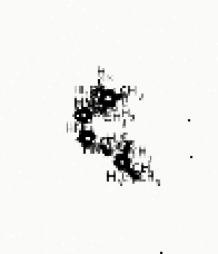 CCC(C)(C)c1ccc(OCC(=O)Nc2ccc(Nc3ccc(NS(=O)(=O)c4c(C(C)C)cc(C(C)C)cc4C(C)C)cc3)cc2)c(C(C)(C)CC)c1